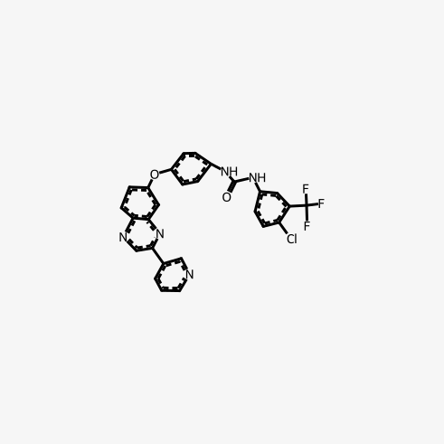 O=C(Nc1ccc(Oc2ccc3ncc(-c4cccnc4)nc3c2)cc1)Nc1ccc(Cl)c(C(F)(F)F)c1